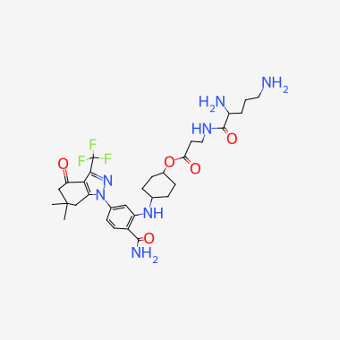 CC1(C)CC(=O)c2c(C(F)(F)F)nn(-c3ccc(C(N)=O)c(NC4CCC(OC(=O)CCNC(=O)C(N)CCCN)CC4)c3)c2C1